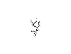 Cc1ccc(N=S(=O)=O)cc1C